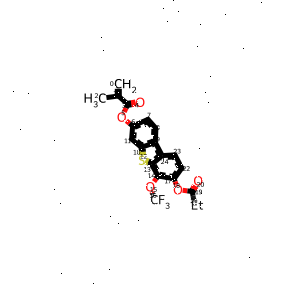 C=C(C)C(=O)Oc1ccc2c(c1)sc1c(OC(F)(F)F)c(OC(=O)CC)ccc12